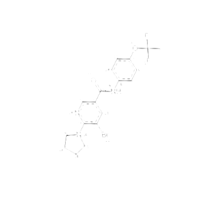 CC(F)(F)Oc1ccc(NC(=O)c2cnc(N3CCCC3)c(Br)c2)cc1